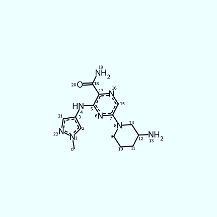 Cn1cc(Nc2nc(N3CCCC(N)C3)cnc2C(N)=O)cn1